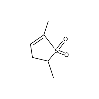 CC1=CCC(C)S1(=O)=O